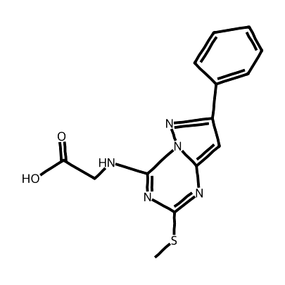 CSc1nc(NCC(=O)O)n2nc(-c3ccccc3)cc2n1